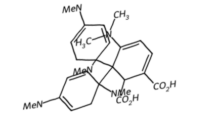 CNC1=CCC(NC)(C2(C3(NC)C=CC(NC)=CC3)C(N(C)C)=CC=C(C(=O)O)C2C(=O)O)C=C1